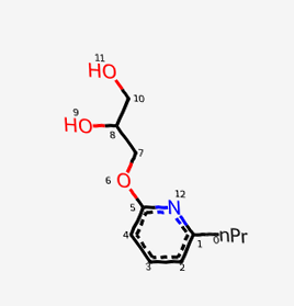 CCCc1cccc(OCC(O)CO)n1